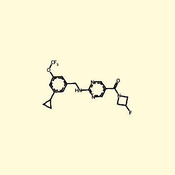 O=C(c1cnc(NCc2cc(OC(F)(F)F)cc(C3CC3)c2)nc1)N1CC(F)C1